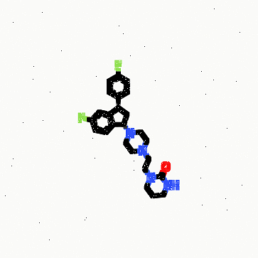 O=C1NCCCN1CCN1CCN([C@H]2C[C@H](c3ccc(F)cc3)c3cc(F)ccc32)CC1